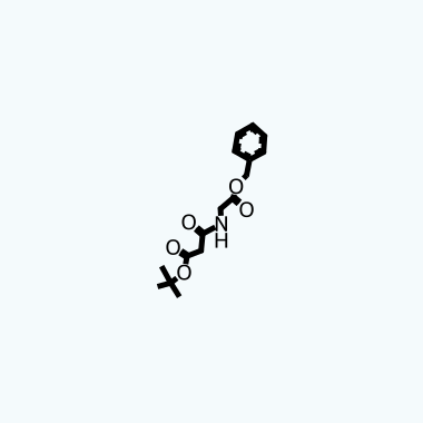 CC(C)(C)OC(=O)CC(=O)NCC(=O)OCc1ccccc1